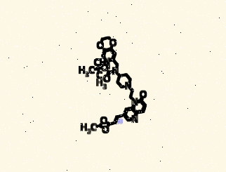 CC1OC(/C=C/c2cnc3ccc(=O)n(CCN4CCC(N(Cc5cc6c(cn5)OCCO6)C(=O)OC(C)(C)C)CC4)c3c2)O1